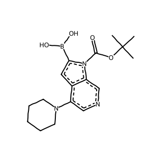 CC(C)(C)OC(=O)n1c(B(O)O)cc2c(N3CCCCC3)cncc21